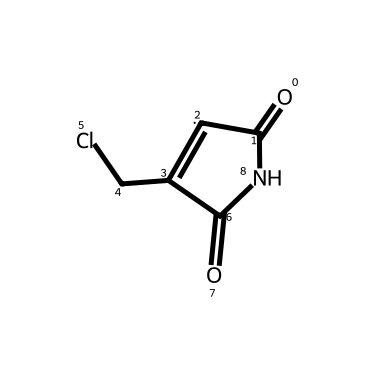 O=C1[C]=C(CCl)C(=O)N1